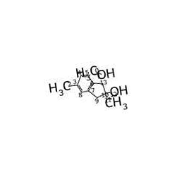 CO.Cc1ccc2c(c1)CC(C)(O)C2